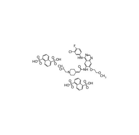 COCCOc1cc2ncnc(Nc3ccc(F)c(Cl)c3)c2cc1NC(=O)C=C1CCN(CCOC)CC1.O=S(=O)(O)c1cccc2c(S(=O)(=O)O)cccc12.O=S(=O)(O)c1cccc2c(S(=O)(=O)O)cccc12